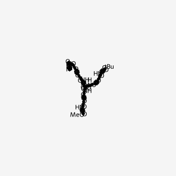 COC(=O)C1CCC(NC(=O)CCCOC2CCC(OCCNC(=O)CN(CC(=O)NCCOC3CCC(OCCCC(=O)NC4CCC(C(=O)OC(C)(C)C)CC4)CC3)C(=O)C3CCC(NC(=O)CCCOC4CCC(OCCNC(=O)[C@H]5CC(=O)N(C)[C@@H]5c5cccnc5)CC4)CC3)CC2)CC1